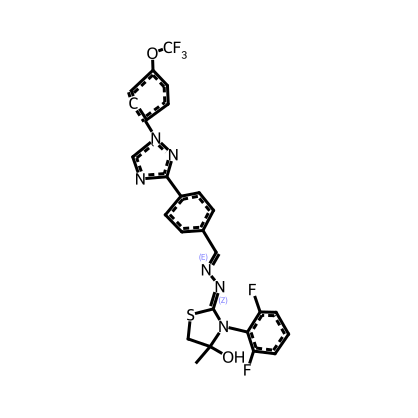 CC1(O)CS/C(=N\N=C\c2ccc(-c3ncn(-c4ccc(OC(F)(F)F)cc4)n3)cc2)N1c1c(F)cccc1F